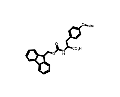 CCCCOc1ccc(CC(NC(=O)OCC2c3ccccc3-c3ccccc32)C(=O)O)cc1